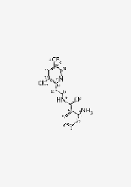 Nc1ccccc1C(=O)NCCc1ncc(C(F)(F)F)cc1Cl